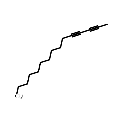 CC#CC#CCCCCCCCCCC(=O)O